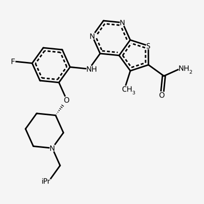 Cc1c(C(N)=O)sc2ncnc(Nc3ccc(F)cc3O[C@H]3CCCN(CC(C)C)C3)c12